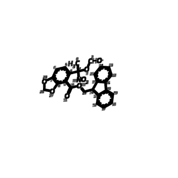 CC(O[C]=O)(c1ccc2c(c1C(=O)OCC1c3ccccc3-c3ccccc31)OCO2)[N+](=O)[O-]